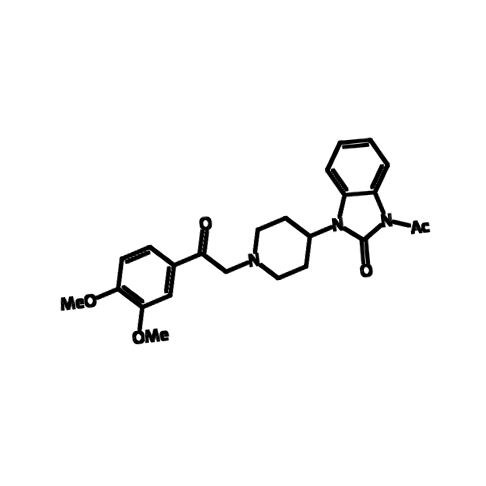 COc1ccc(C(=O)CN2CCC(n3c(=O)n(C(C)=O)c4ccccc43)CC2)cc1OC